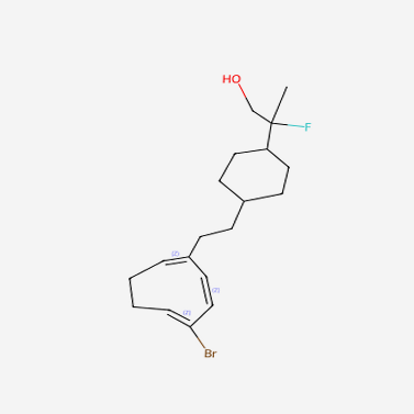 CC(F)(CO)C1CCC(CCC2=C/CC/C=C(Br)/C=C\2)CC1